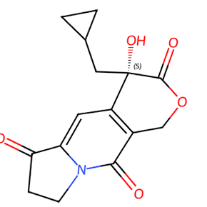 O=C1CCn2c1cc1c(c2=O)COC(=O)[C@]1(O)CC1CC1